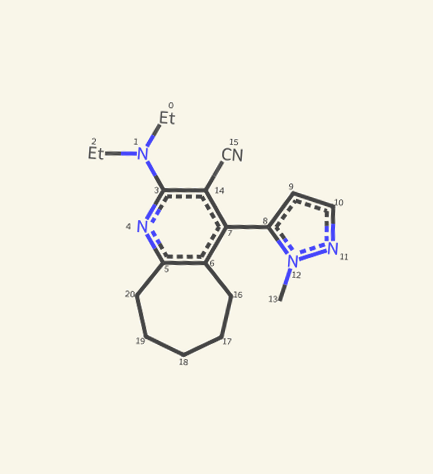 CCN(CC)c1nc2c(c(-c3ccnn3C)c1C#N)CCCCC2